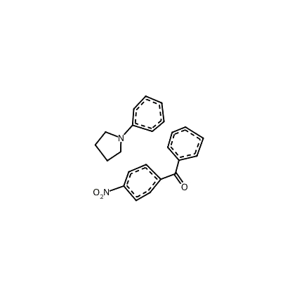 O=C(c1ccccc1)c1ccc([N+](=O)[O-])cc1.c1ccc(N2CCCC2)cc1